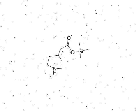 C[Si](C)(C)OC(=O)CC1CCNCC1